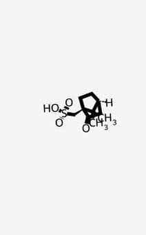 CC1(C)[C@H]2CC[C@@]1(CS(=O)(=O)O)C(=O)C2